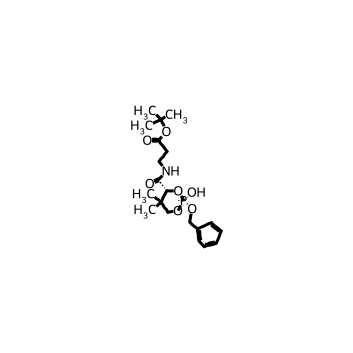 CC(C)(C)OC(=O)CCNC(=O)[C@@H]1O[P](O)(OCc2ccccc2)OCC1(C)C